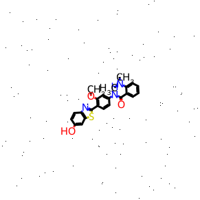 COc1cc(NC(=O)c2ccccc2N(C)C)ccc1-c1nc2ccc(O)cc2s1